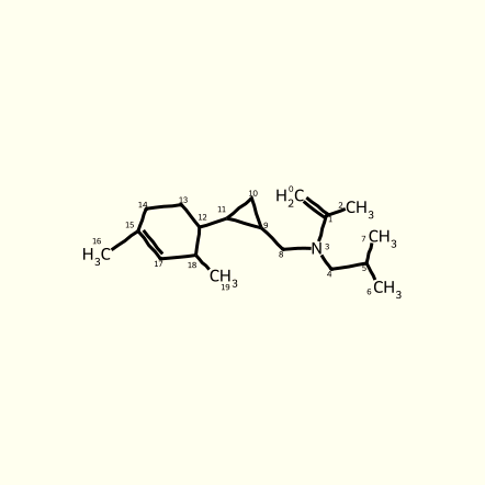 C=C(C)N(CC(C)C)CC1CC1C1CCC(C)=CC1C